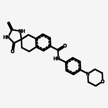 C=C1NC(=O)C2(CCc3cc(C(=O)Nc4ccc(N5CCOCC5)cc4)ccc3C2)N1